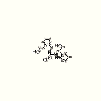 CCC(N=Nc1cccc[n+]1CCO)=NN=c1ccccn1CCO.[Cl-]